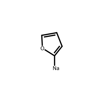 [Na][c]1ccco1